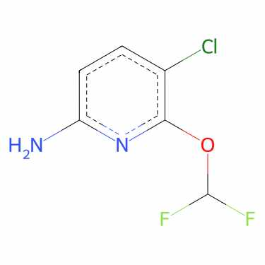 Nc1ccc(Cl)c(OC(F)F)n1